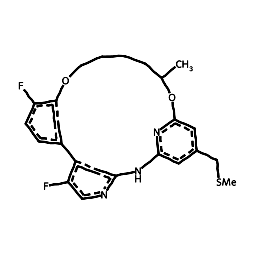 CSCc1cc2nc(c1)OC(C)CCCCOc1cc(ccc1F)-c1cc(ncc1F)N2